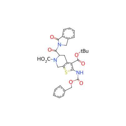 CC(C)(C)OC(=O)c1c(NC(=O)OCc2ccccc2)sc2c1CC(C(=O)N1Cc3ccccc3C1=O)N(C(=O)O)C2